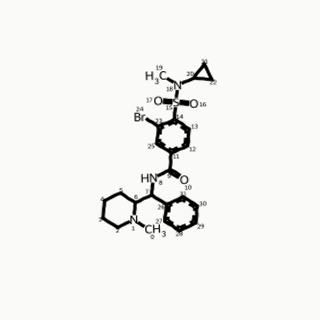 CN1CCCCC1C(NC(=O)c1ccc(S(=O)(=O)N(C)C2CC2)c(Br)c1)c1ccccc1